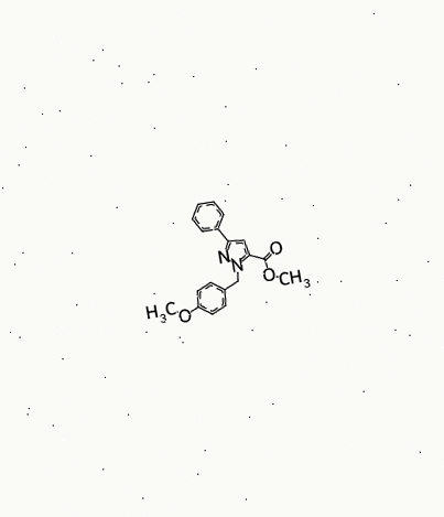 COC(=O)c1cc(-c2ccccc2)nn1Cc1ccc(OC)cc1